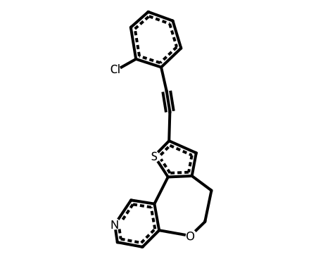 Clc1ccccc1C#Cc1cc2c(s1)-c1cnccc1OCC2